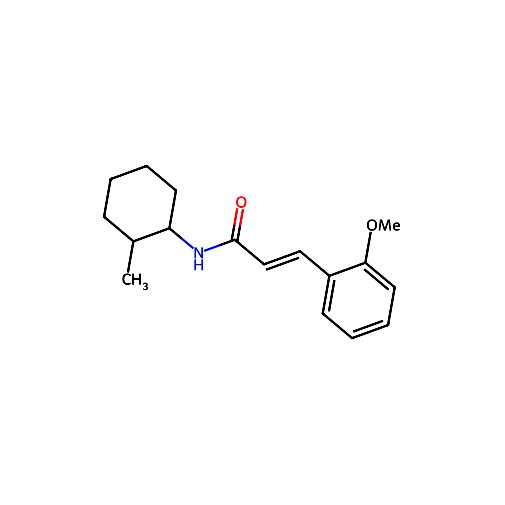 COc1ccccc1C=CC(=O)NC1CCCCC1C